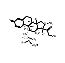 CC(=O)O.CC(C)(C)OS(=O)(=O)O.C[C@@H]1C[C@H]2[C@@H]3CCC4=CC(=O)C=C[C@]4(C)[C@@]3(F)[C@@H](O)C[C@]2(C)[C@@]1(O)C(=O)CO